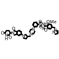 COc1cc(Cn2cccn2)cc2onc(NS(=O)(=O)c3cccc(N4CCN(CC5CCN(c6ccc7c(c6)CN(C6CCC(=O)NC6=O)C7=O)C5)CC4)c3)c12